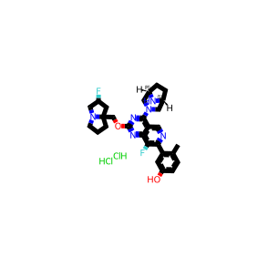 Cc1ccc(O)cc1-c1ncc2c(N3C[C@H]4CC[C@@H](C3)N4)nc(OCC34CCCN3CC(F)C4)nc2c1F.Cl.Cl